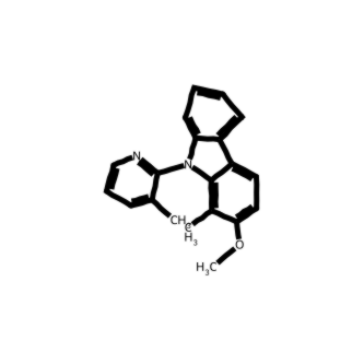 COc1ccc2c3ccccc3n(-c3ncccc3C)c2c1C